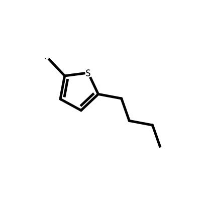 [CH2]c1ccc(CCCC)s1